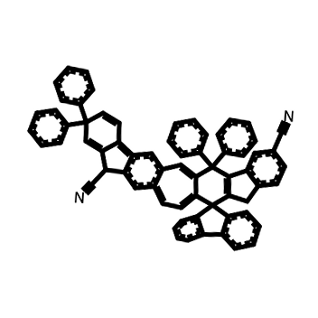 N#Cc1ccc2c(c1)C1=C(C2)C2(C3=CC=c4cc5c(cc4C=C3C1(c1ccccc1)c1ccccc1)=C1C=CC(c3ccccc3)(c3ccccc3)C=C1C5C#N)c1ccccc1-c1ccccc12